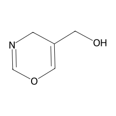 OCC1=COC=NC1